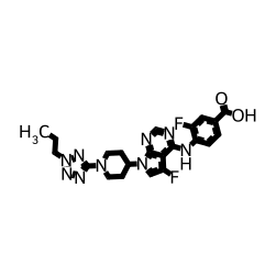 CCCn1nnc(N2CCC(n3cc(F)c4c(Nc5ccc(C(=O)O)cc5F)ncnc43)CC2)n1